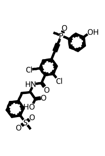 CP(=O)(C#Cc1cc(Cl)c(C(=O)NC(Cc2cccc(S(C)(=O)=O)c2)C(=O)O)c(Cl)c1)c1cccc(O)c1